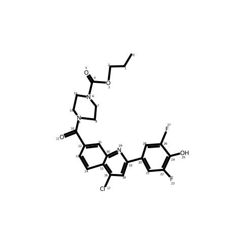 CCCOC(=O)N1CCN(C(=O)c2ccc3c(Cl)cc(-c4cc(F)c(O)c(F)c4)nc3c2)CC1